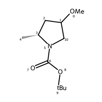 COC1C[C@@H](C)N(C(=O)OC(C)(C)C)C1